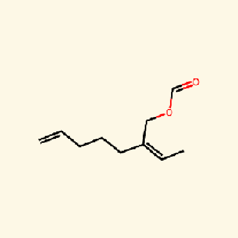 C=CCCCC(=CC)COC=O